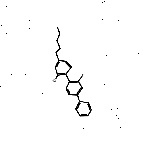 CCCCCc1ccc(-c2ccc(-c3ccccc3)cc2F)c(O)c1